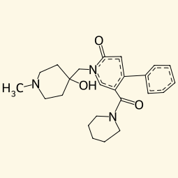 CN1CCC(O)(Cn2cc(C(=O)N3CCCCC3)c(-c3ccccc3)cc2=O)CC1